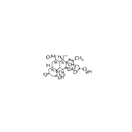 CC(=O)O[C@H]1CC2C([C@H](OC(C)=O)C[C@@H]3CC(=O)C[C@@H](O)[C@]23C)[C@@H]2CC[C@H]([C@H](C)CCC(=O)OC(C)C)[C@@]12C